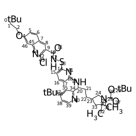 CC(C)(C)CCOc1ccc2cc(C(=O)NSc3cccc(NC(CCC4CN(C(=O)OC(C)(C)C)C(C)(C)C4)c4cc(C(C)(C)C)ccn4)n3)c(Cl)nc2c1